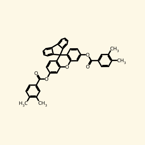 Cc1ccc(C(=O)Oc2ccc3c(c2)Oc2cc(OC(=O)c4ccc(C)c(C)c4)ccc2C32c3ccccc3-c3ccccc32)cc1C